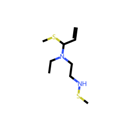 C=CC(SC)N(CC)CCNSC